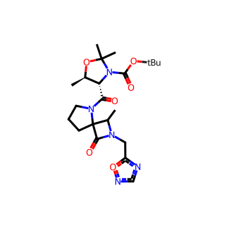 CC1N(Cc2ncno2)C(=O)C12CCCN2C(=O)[C@@H]1[C@@H](C)OC(C)(C)N1C(=O)OC(C)(C)C